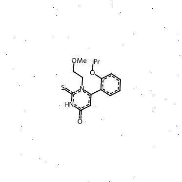 COCCn1c(-c2ccccc2OC(C)C)cc(=O)[nH]c1=S